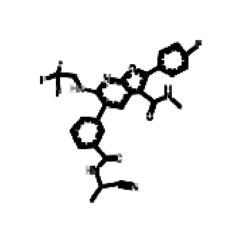 CNC(=O)c1c(-c2ccc(F)cc2)oc2nc(NCC(F)(F)F)c(-c3cccc(C(=O)NC(C)C#N)c3)cc12